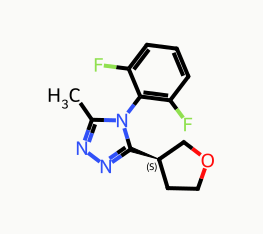 Cc1nnc([C@@H]2CCOC2)n1-c1c(F)cccc1F